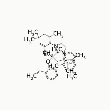 C=Cc1ccccc1OC(CC)(Cc1c(C)cccc1C)C1N(C2=C(C)CC(C)(C)C=C2C)CCN1c1c(C)cc(C)cc1C